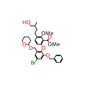 COC(=O)c1c(Oc2c(COC3CCCCO3)cc(Br)cc2OCc2ccccc2)ccc(CCC(C)CO)c1OC